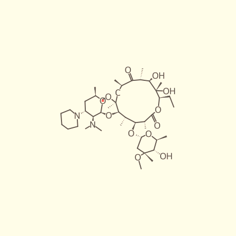 CC[C@H]1OC(=O)[C@H](C)[C@@H](O[C@H]2C[C@@](C)(OC)[C@@H](O)[C@H](C)O2)[C@H](C)[C@@H](O[C@@H]2O[C@H](C)C[C@@H](N3CCCCC3)[C@@H]2N(C)C)[C@@](C)(OC)C[C@@H](C)C(=O)[C@H](C)[C@@H](O)[C@]1(C)O